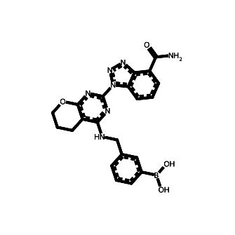 NC(=O)c1cccc2c1nnn2-c1nc(NCc2cccc(B(O)O)c2)c2c(n1)OCCC2